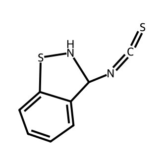 S=C=NC1NSc2ccccc21